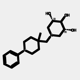 CC1(CN2C[C@@H](O)C(O)[C@@H](O)C2)CCN(c2ccccc2)CC1